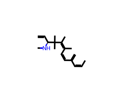 C=C[C@H](NC)C(C)(C)/C(C)=C(C)\C=C/C(=C)/C=C\C